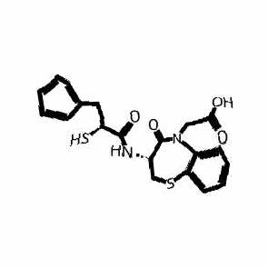 O=C(O)CN1C(=O)[C@@H](NC(=O)[C@@H](S)Cc2ccccc2)CSc2ccccc21